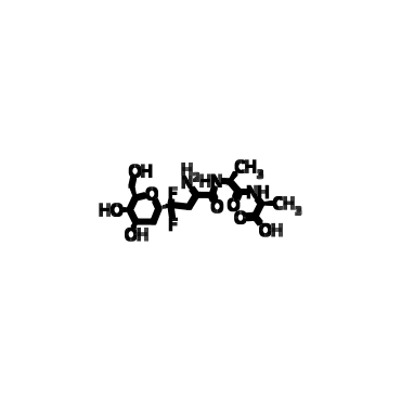 C[C@H](NC(=O)[C@H](C)NC(=O)C(N)CC(F)(F)[C@@H]1C[C@@H](O)[C@@H](O)[C@@H](CO)O1)C(=O)O